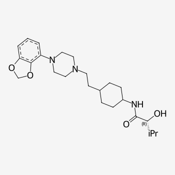 CC(C)[C@@H](O)C(=O)NC1CCC(CCN2CCN(c3cccc4c3OCO4)CC2)CC1